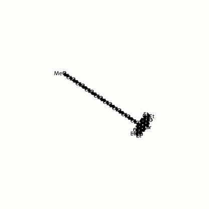 CCC(CC)N1C(=O)c2ccc3c4c(OCCOCCOCCOCCOCCOCCOCCOCCOCCOCCOCCOCCOCCOCCOCCOCCOC)cc5c6c(ccc(c7c(Br)cc(c2c37)C1=O)c64)C(=O)N(C(CC)CC)C5=O